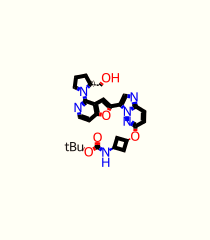 CC(C)(C)OC(=O)N[C@H]1C[C@H](Oc2ccc3ncc(-c4cc5c(N6CCC[C@@H]6CO)nccc5o4)n3n2)C1